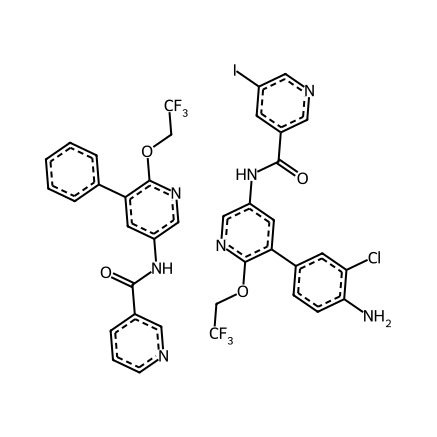 Nc1ccc(-c2cc(NC(=O)c3cncc(I)c3)cnc2OCC(F)(F)F)cc1Cl.O=C(Nc1cnc(OCC(F)(F)F)c(-c2ccccc2)c1)c1cccnc1